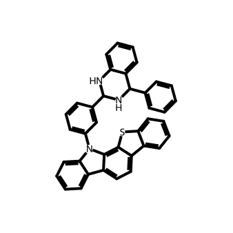 c1ccc(C2NC(c3cccc(-n4c5ccccc5c5ccc6c7ccccc7sc6c54)c3)Nc3ccccc32)cc1